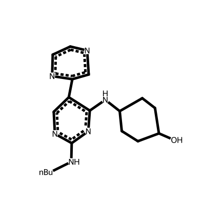 CCCCNc1ncc(-c2cnccn2)c(NC2CCC(O)CC2)n1